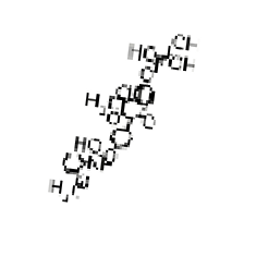 COc1ccccc1NC(O)Oc1ccc2c3c(oc2c1)C(C)(C)c1cc(OC[C@@H](O)[C@H](O)CO)ccc1C3=O